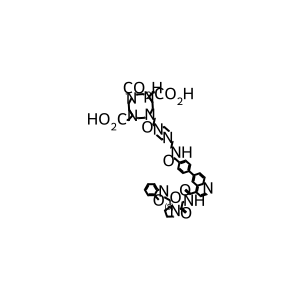 O=C(O)CN1CCN(CC(=O)O)CCN(CC(=O)N2CCN(CCNC(=O)c3ccc(-c4ccc5nccc(C(=O)NCC(=O)N6CCC[C@H]6C(=O)c6nc7ccccc7o6)c5c4)cc3)CC2)CCN(CC(=O)O)CC1